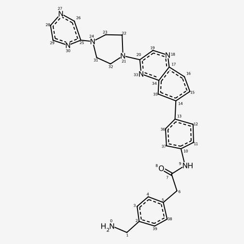 NCc1ccc(CC(=O)Nc2ccc(-c3ccc4ncc(N5CCN(c6cnccn6)CC5)nc4c3)cc2)cc1